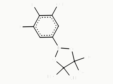 CC1(C)OB(c2cc(O)c(F)c(F)c2)OC1(C)C